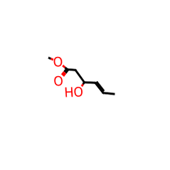 CC=CC(O)CC(=O)OC